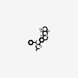 CC(C)CN(C(=O)c1ccc2c(c1)CCN1C[C@H]3CCCN[C@H]3C[C@H]21)[C@H](C)c1ccccc1